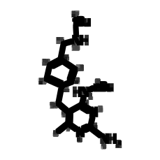 CCCCNc1nc(N)nc(C)c1Cc1ccc(CNC(C)(C)C)cc1